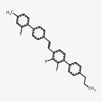 CCCc1ccc(-c2ccc(/C=C/c3ccc(-c4ccc(C)cc4F)cc3)c(F)c2F)cc1